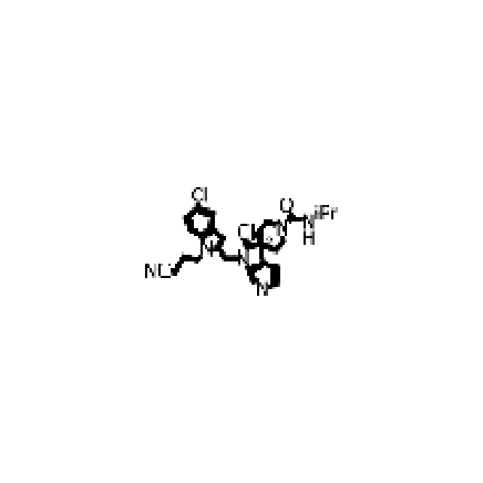 C=C1N(Cc2cc3cc(Cl)ccc3n2CCCC#N)c2cnccc2C12CCN(C(=O)NC(C)C)CC2